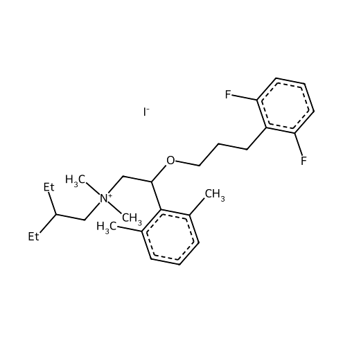 CCC(CC)C[N+](C)(C)CC(OCCCc1c(F)cccc1F)c1c(C)cccc1C.[I-]